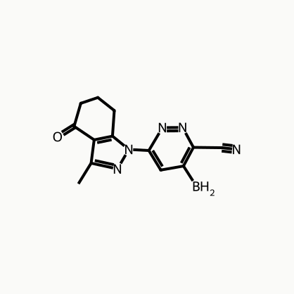 Bc1cc(-n2nc(C)c3c2CCCC3=O)nnc1C#N